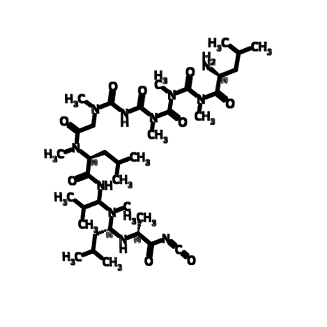 CC(C)C[C@H](N)C(=O)N(C)C(=O)N(C)C(=O)N(C)C(=O)NC(=O)N(C)CC(=O)N(C)[C@@H](CC(C)C)C(=O)NC(C(C)C)N(C)[C@@H](CC(C)C)N[C@H](C)C(=O)N=C=O